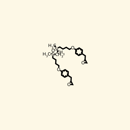 C[Si](C)(CCCCOc1ccc(CC2CO2)cc1)O[Si](C)(C)CCCCOc1ccc(CC2CO2)cc1